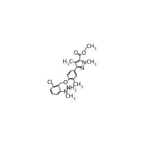 CCOC(=O)c1c(C)c(-c2ccc(OCc3c(Cl)cccc3N(C)N)c(C)c2)nn1C